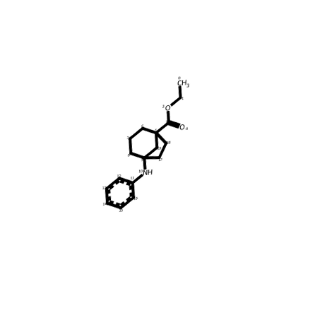 CCOC(=O)C12CCCC(Nc3ccccc3)(CC1)C2